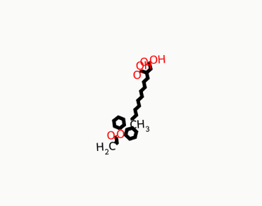 C1CCCCC1.C=CC(=O)OC1CCCCC1.CCCCCCCCCCCC(CC(=O)O)C(=O)O